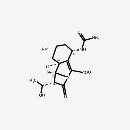 CC(O)[C@H]1C(=O)N2C(C(=O)[O-])=C3[C@@H](NC(N)=O)CCC[C@@H]3[C@H]12.[Na+]